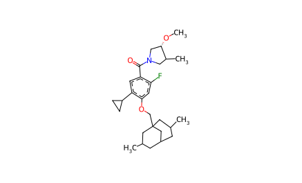 CO[C@H]1CN(C(=O)c2cc(C3CC3)c(OCC34CC(C)CC(CC(C)C3)C4)cc2F)CC1C